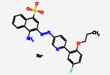 CCCOc1ccc(F)cc1-c1ccc(N=Nc2cc(S(=O)(=O)[O-])c3ccccc3c2N)cn1.[Na+]